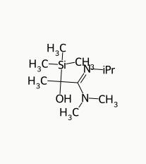 CC(C)N=C(N(C)C)C(C)(O)[Si](C)(C)C